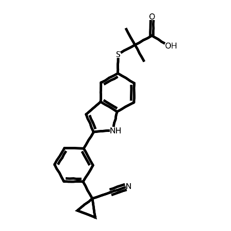 CC(C)(Sc1ccc2[nH]c(-c3cccc(C4(C#N)CC4)c3)cc2c1)C(=O)O